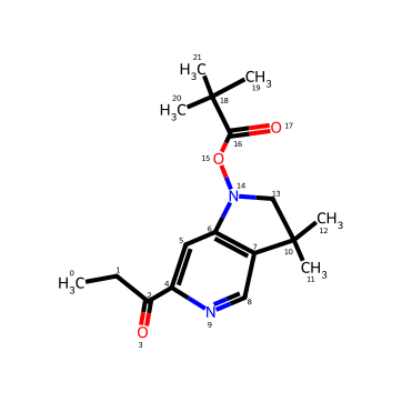 CCC(=O)c1cc2c(cn1)C(C)(C)CN2OC(=O)C(C)(C)C